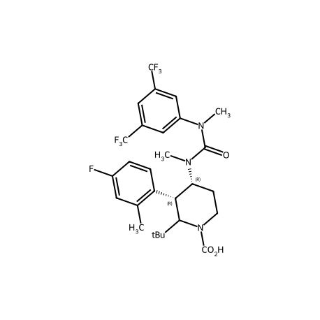 Cc1cc(F)ccc1[C@H]1C(C(C)(C)C)N(C(=O)O)CC[C@H]1N(C)C(=O)N(C)c1cc(C(F)(F)F)cc(C(F)(F)F)c1